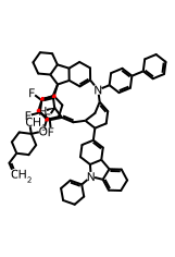 C=CC1CCC(C)(OC2CC=C(C34C5C=C(CCC5C5CCCCC53)N(C3C=CC(C5=CC=CCC5)=CC3)C3=CCC(C5=CC6C7=CCCC=C7N(C7=CCCCC7)C6CC5)C(/C=C5/C(F)C(F)C(F)C4[C@H]5F)C3)CC2)CC1